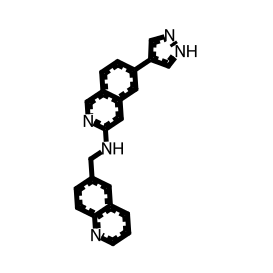 c1cnc2ccc(CNc3cc4cc(-c5cn[nH]c5)ccc4cn3)cc2c1